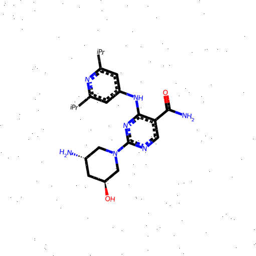 CC(C)c1cc(Nc2nc(N3C[C@@H](N)C[C@H](O)C3)ncc2C(N)=O)cc(C(C)C)n1